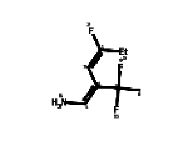 CC/C(F)=C\C(=C/N)C(C)(F)F